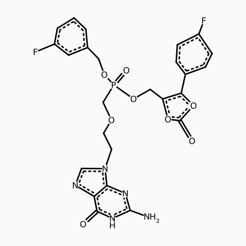 Nc1nc2c(ncn2CCOCP(=O)(OCc2cccc(F)c2)OCc2oc(=O)oc2-c2ccc(F)cc2)c(=O)[nH]1